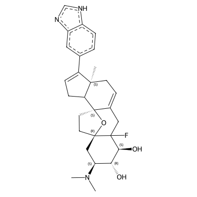 CN(C)[C@H]1C[C@@]23CC[C@@]4(O2)C(=CC[C@]2(C)C(c5ccc6[nH]cnc6c5)=CCC24)CC3(F)[C@@H](O)[C@@H]1O